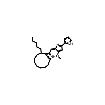 CCCCCC1CCCCCCCc2cc1c(C=C1N=C(c3ccc[nH]3)C=C1OC)[nH]2